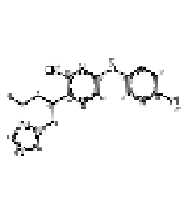 CCCC(Cn1cncn1)c1ccc(Oc2ccc(Cl)cc2)cc1Cl